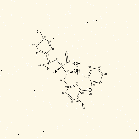 O=C(O)[C@@](F)(CC1(c2ccc(Cl)cc2)CC1)[C@@H](O)Cc1ccc(F)c(Oc2ccccc2)c1